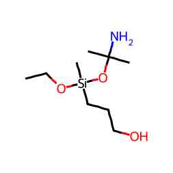 CCO[Si](C)(CCCO)OC(C)(C)N